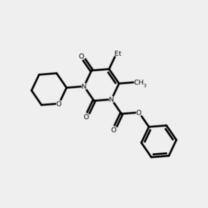 CCc1c(C)n(C(=O)Oc2ccccc2)c(=O)n(C2CCCCO2)c1=O